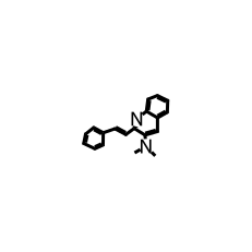 CN(C)c1cc2ccccc2nc1C=Cc1ccccc1